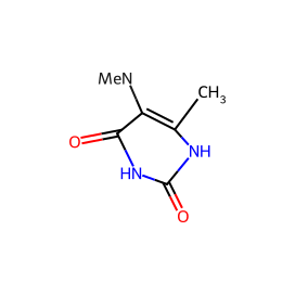 CNc1c(C)[nH]c(=O)[nH]c1=O